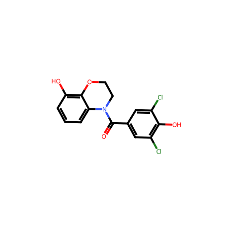 O=C(c1cc(Cl)c(O)c(Cl)c1)N1CCOc2c(O)cccc21